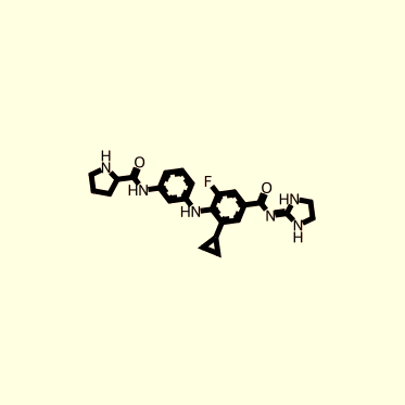 O=C(N=C1NCCN1)c1cc(F)c(Nc2cccc(NC(=O)C3CCCN3)c2)c(C2CC2)c1